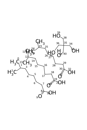 CC(C)CCCCCC(=O)O.CC(C)CCCCCC(=O)O.CC(C)CCCCCC(=O)O.OCC(CO)(CO)CO